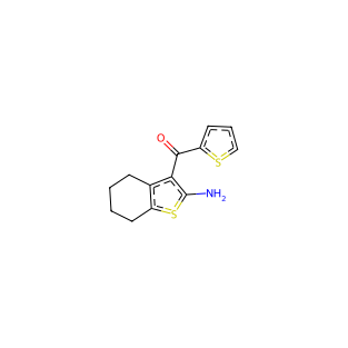 Nc1sc2c(c1C(=O)c1cccs1)CCCC2